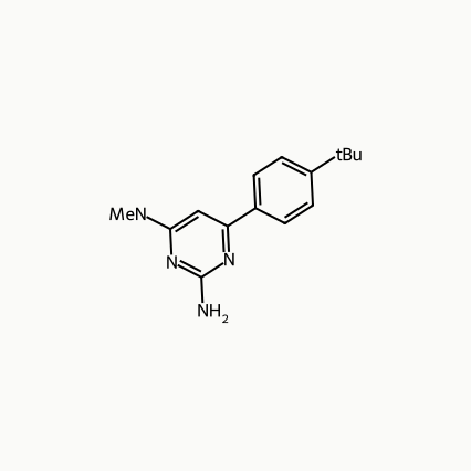 CNc1cc(-c2ccc(C(C)(C)C)cc2)nc(N)n1